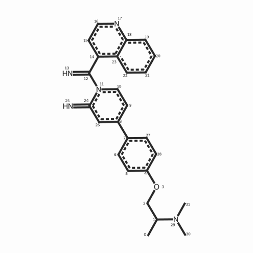 CC(COc1ccc(-c2ccn(C(=N)c3ccnc4ccccc34)c(=N)c2)cc1)N(C)C